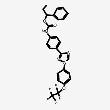 CCC(OC(=O)Nc1ccc(-c2ncn(-c3ccc(OC(F)(F)C(F)(F)F)cc3)n2)cc1)c1ccccc1